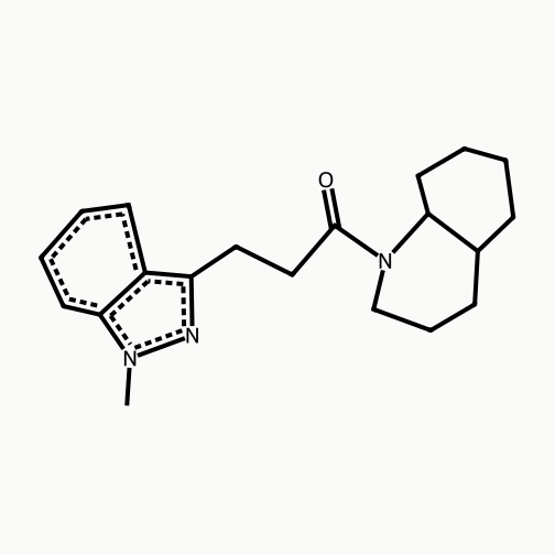 Cn1nc(CCC(=O)N2CCCC3CCCCC32)c2ccccc21